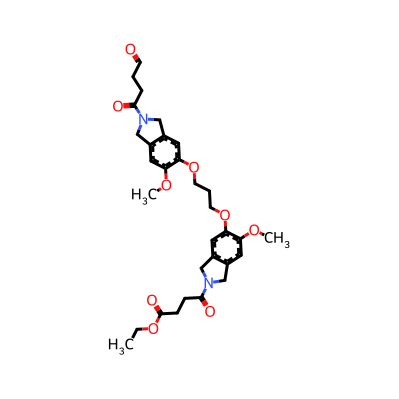 CCOC(=O)CCC(=O)N1Cc2cc(OC)c(OCCCOc3cc4c(cc3OC)CN(C(=O)CCC=O)C4)cc2C1